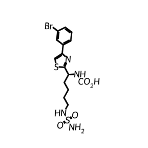 NS(=O)(=O)NCCCCC(NC(=O)O)c1nc(-c2cccc(Br)c2)cs1